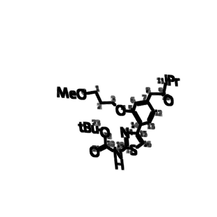 COCCCOc1cc(CC(=O)C(C)C)ccc1-c1csc(NC(=O)OC(C)(C)C)n1